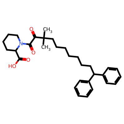 CC(C)(CCCCCCCC(c1ccccc1)c1ccccc1)C(=O)C(=O)N1CCCCC1C(=O)O